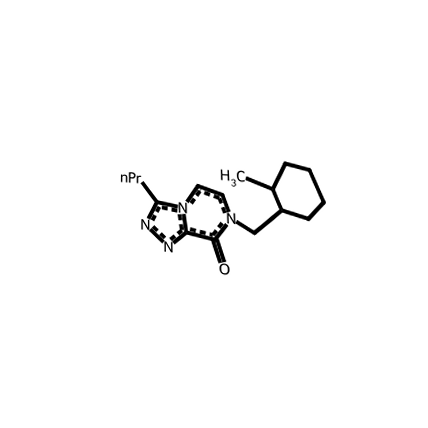 CCCc1nnc2c(=O)n(CC3CCCCC3C)ccn12